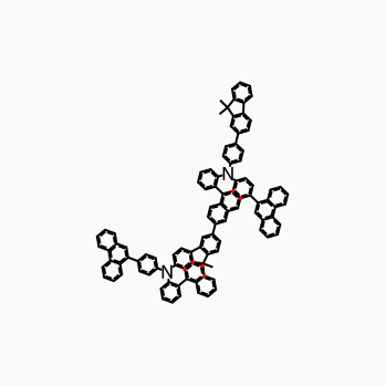 CC1(C)c2ccccc2-c2ccc(-c3ccc(N(c4ccc(-c5cc6ccccc6c6ccccc56)cc4)c4ccccc4-c4cccc5cc(-c6ccc7c(c6)-c6ccc(N(c8ccc(-c9cc%10ccccc%10c%10ccccc9%10)cc8)c8ccccc8-c8cccc9ccccc89)cc6C7(C)C)ccc45)cc3)cc21